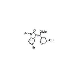 CO/C(=C1\C(=O)N(C(C)=O)c2ccc(Br)cc21)c1cccc(O)c1